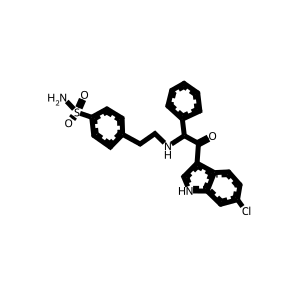 NS(=O)(=O)c1ccc(CCNC(C(=O)c2c[nH]c3cc(Cl)ccc23)c2ccccc2)cc1